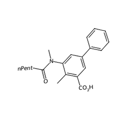 CCCCCC(=O)N(C)c1cc(-c2ccccc2)cc(C(=O)O)c1C